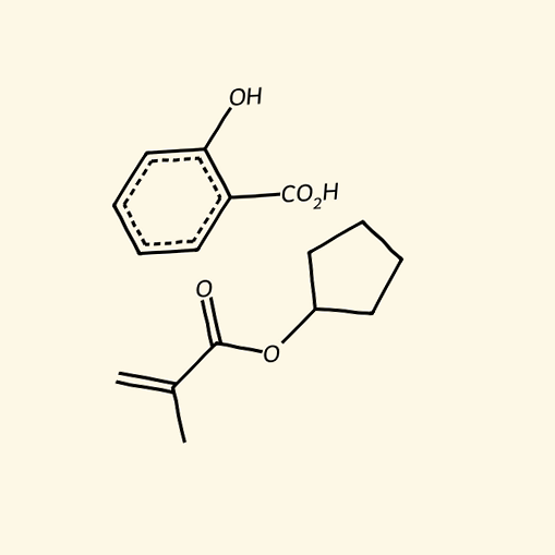 C=C(C)C(=O)OC1CCCC1.O=C(O)c1ccccc1O